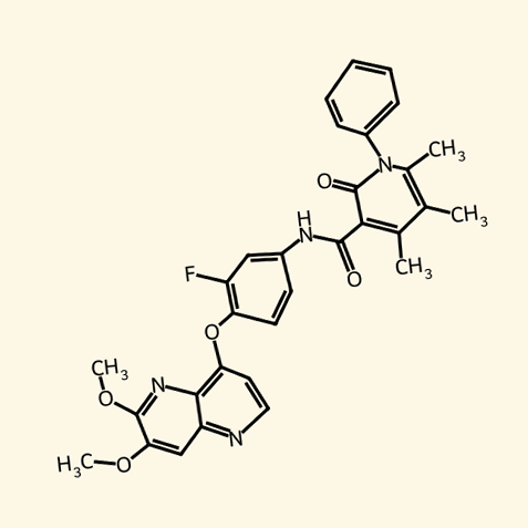 COc1cc2nccc(Oc3ccc(NC(=O)c4c(C)c(C)c(C)n(-c5ccccc5)c4=O)cc3F)c2nc1OC